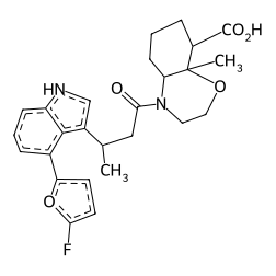 CC(CC(=O)N1CCOC2(C)C(C(=O)O)CCCC12)c1c[nH]c2cccc(-c3ccc(F)o3)c12